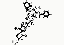 C[C@H](NP(=O)(Oc1ccccc1)OP(=O)(O)OP(=O)(O)OC[C@H]1O[C@@H](n2ccc(N)nc2=O)C(O)[C@H]1O)C(=O)OCc1ccccc1